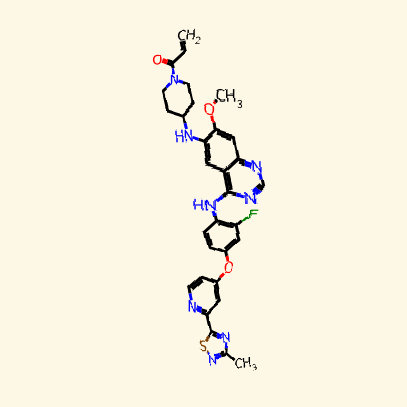 C=CC(=O)N1CCC(Nc2cc3c(Nc4ccc(Oc5ccnc(-c6nc(C)ns6)c5)cc4F)ncnc3cc2OC)CC1